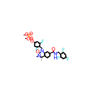 COP(=O)(OC)OOc1cc(F)c(CN2C(=O)N(C)[C@@H](C)c3ccc(C(=O)NCc4c(F)cc(F)cc4F)cc32)c(F)c1